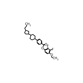 CCCC1CCC(C2CCC(c3ccc(C(=O)Oc4ccc(OCC)c(F)c4F)cc3)CC2)C1